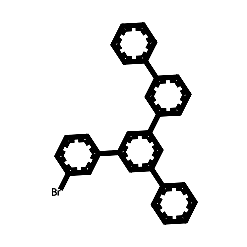 Brc1cccc(-c2cc(-c3ccccc3)cc(-c3cccc(-c4ccccc4)c3)c2)c1